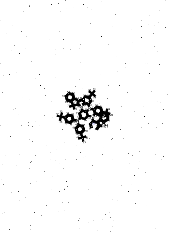 C=C/C(=c1\c(=C)[nH]c2ccccc12)N1c2cc(C(C)(C)C)ccc2B2C3=C(C=C(N(c4ccc(C(C)(C)C)cc4)c4ccc(C(C)(C)C)cc4)CC31)n1c3c(c4cc(C(C)(C)C)cc2c41)-c1ccccc1C3(C)C